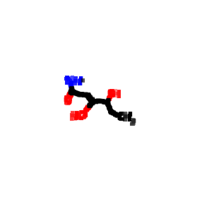 CCC(O)C(O)CC([NH])=O